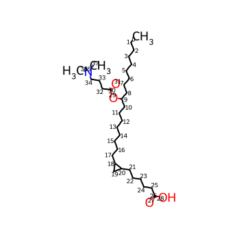 CCCCCCCCCC(CCCCCCCCC1CC1CCCCCC(=O)O)OC(=O)CCCN(C)C